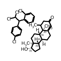 CC1CC(=O)C=C2CC[C@H]3[C@@H]4CC[C@H](O)[C@@]4(C)CC[C@@H]3[C@]21C.Clc1ccc(C(c2ccccc2Cl)C(Cl)Cl)cc1